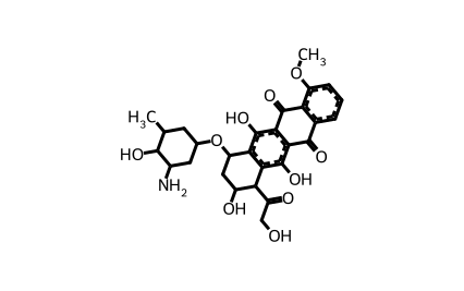 COc1cccc2c1C(=O)c1c(O)c3c(c(O)c1C2=O)C(C(=O)CO)C(O)CC3OC1CC(C)C(O)C(N)C1